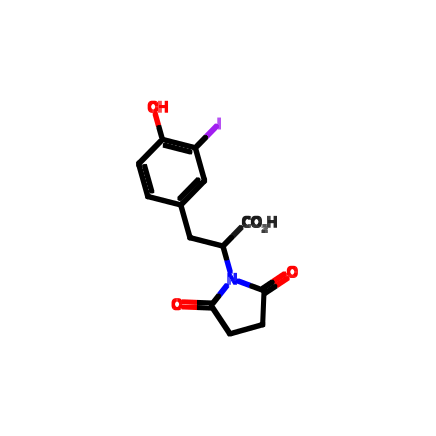 O=C(O)C(Cc1ccc(O)c(I)c1)N1C(=O)CCC1=O